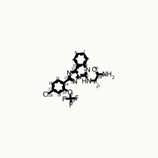 C[C@H](Nc1nc2ccccc2c2nc(-c3ccc(Cl)cc3OC(F)(F)F)nn12)C(N)=O